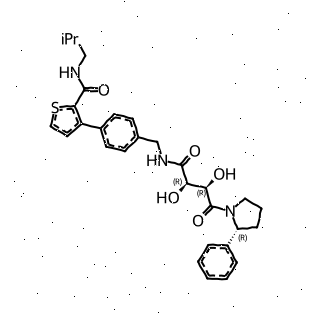 CC(C)CNC(=O)c1sccc1-c1ccc(CNC(=O)[C@H](O)[C@@H](O)C(=O)N2CCC[C@@H]2c2ccccc2)cc1